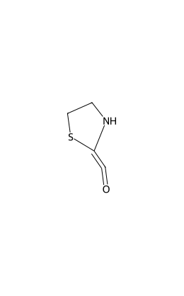 O=C=C1NCCS1